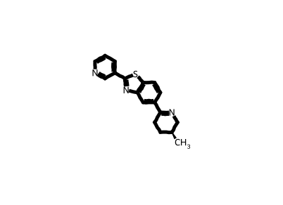 C[C@H]1CCC(c2ccc3sc(-c4cccnc4)nc3c2)=NC1